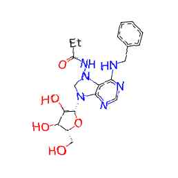 CCC(=O)NN1CN([C@@H]2O[C@H](CO)C(O)C2O)c2ncnc(NCc3ccccc3)c21